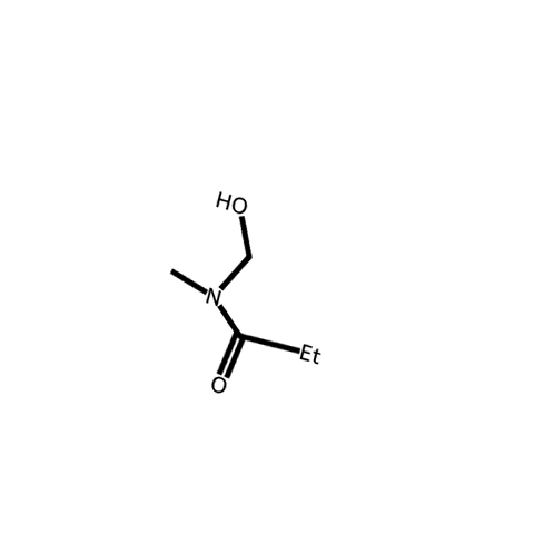 CCC(=O)N(C)CO